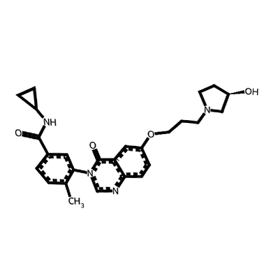 Cc1ccc(C(=O)NC2CC2)cc1-n1cnc2ccc(OCCCN3CC[C@@H](O)C3)cc2c1=O